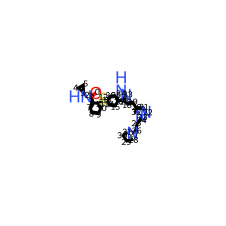 O=C(NC1CC1)c1ccccc1Sc1ccc2c(/C=C/c3cnn(CCCN4CCCC4)c3)n[nH]c2c1